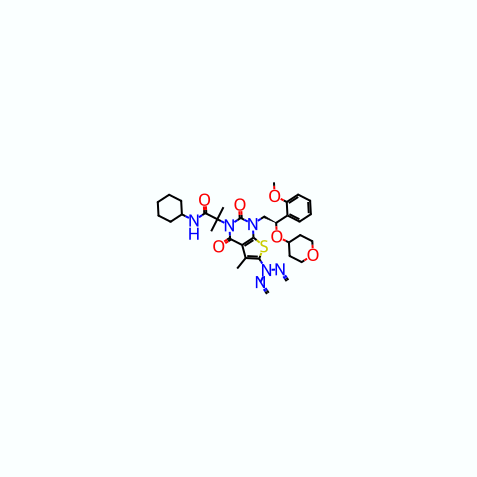 C=NN(N=C)c1sc2c(c1C)c(=O)n(C(C)(C)C(=O)NC1CCCCC1)c(=O)n2C[C@H](OC1CCOCC1)c1ccccc1OC